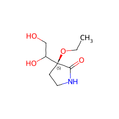 CCO[C@]1(C(O)CO)CCNC1=O